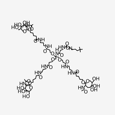 CC(=O)NC1CC(O)[C@H](O)C(CO)CO[C@@H]1OCCCCC(=O)NCCCNC(=O)CCOCC(COCCC(=O)NCCCNC(=O)CCCCO[C@H]1OCC(CO)[C@@H](O)C(O)[C@H]1NC(C)=O)(COCCC(=O)NCCCNC(=O)CCCCO[C@H]1OCC(CO)[C@@](C)(O)C(O)[C@H]1NC(C)=O)NC(=O)CCNC(=O)ON=CCCC(C)(C)C